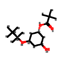 CC(C)(C)C(=O)O[C@@H]1C[C@@H](O)C[C@@H](O[Si](C)(C)C(C)(C)C)C1